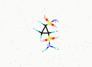 NS(=O)(=O)C1(F)C(F)(F)C1(F)S(=O)(=O)N(F)F